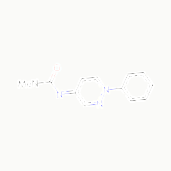 CNC(=O)N=c1ccn(-c2ccccc2)nc1